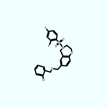 O=S(=O)(c1ccc(F)cc1F)N1CCOc2ccc(COCc3ccccc3Cl)cc2C1